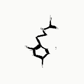 CCC(=O)NCCc1ccc(F)[c]c1F.[Ti]